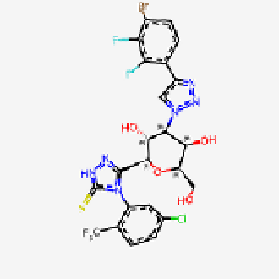 OC[C@H]1O[C@@H](c2n[nH]c(=S)n2-c2cc(Cl)ccc2C(F)(F)F)[C@H](O)[C@@H](n2cc(-c3ccc(Br)c(F)c3F)nn2)[C@H]1O